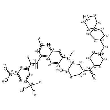 COc1cc2nc(C)nc(NC(C)c3cc([N+](=O)[O-])cc(C(F)(F)F)c3)c2cc1OC1CCN(C(=O)C2CCN(CC3CCC4(CCNCC4)CC3)CC2)CC1